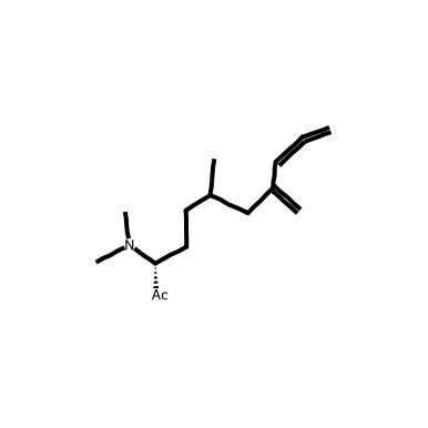 C=C=CC(=C)CC(C)CC[C@H](C(C)=O)N(C)C